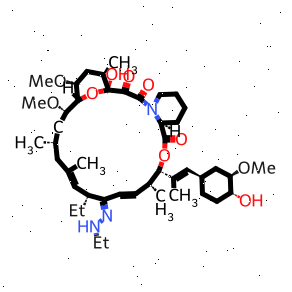 CCNN=C1/C=C/[C@@H](C)[C@@H](/C(C)=C/[C@@H]2CC[C@@H](O)[C@H](OC)C2)OC(=O)[C@@H]2CCCCN2C(=O)C(=O)[C@]2(O)O[C@H]([C@@H](OC)C[C@@H](C)C/C(C)=C/[C@H]1CC)[C@@H](OC)C[C@H]2C